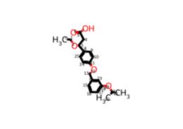 CCOC(CC(=O)O)c1ccc(OCc2cccc(OC(C)C)c2)cc1